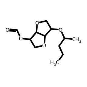 CCCC(C)OC1COC2C(OC=O)COC12